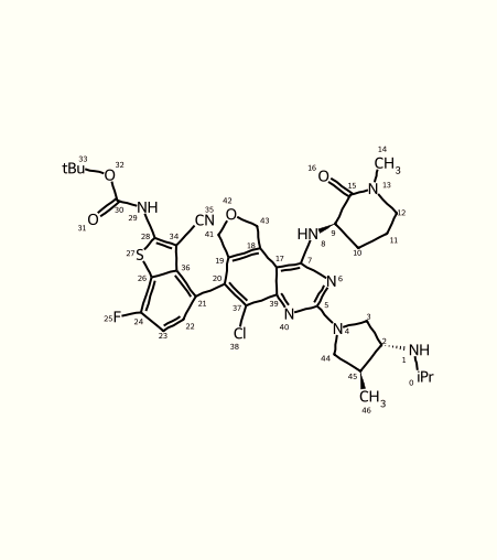 CC(C)N[C@H]1CN(c2nc(N[C@@H]3CCCN(C)C3=O)c3c4c(c(-c5ccc(F)c6sc(NC(=O)OC(C)(C)C)c(C#N)c56)c(Cl)c3n2)COC4)C[C@@H]1C